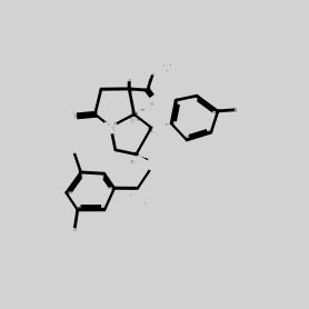 COC(=O)C1(C)CC(=O)N2C[C@H](O[C@H](C)c3cc(C(F)(F)F)cc(C(F)(F)F)c3)[C@@H](c3ccc(F)cc3)[C@@H]21